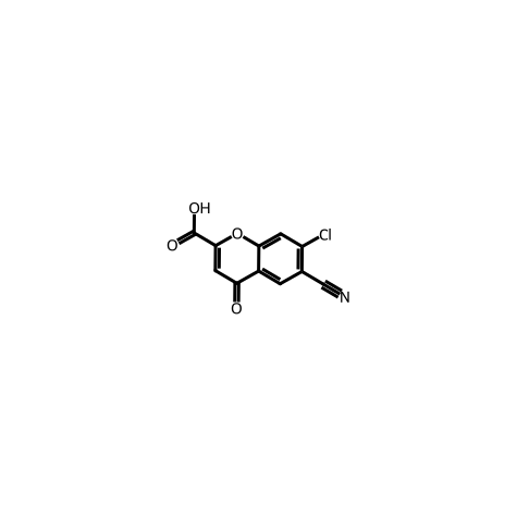 N#Cc1cc2c(=O)cc(C(=O)O)oc2cc1Cl